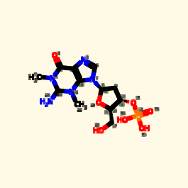 CN1C(=O)c2ncn([C@H]3C[C@H](OP(=O)(O)O)[C@@H](CO)O3)c2N(C)C1N